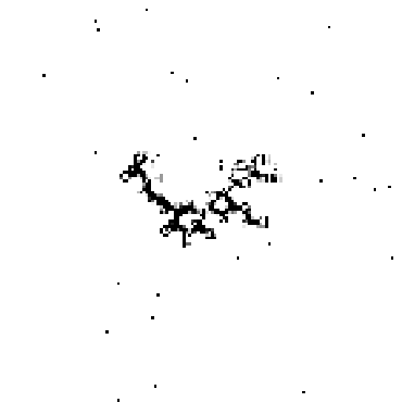 CC(C)(C)[Si](C)(C)OC[C@H]1O[C@@H](n2cc(C#CCNC(=O)C(F)(F)F)c(=O)[nH]c2=O)CC1OCCl